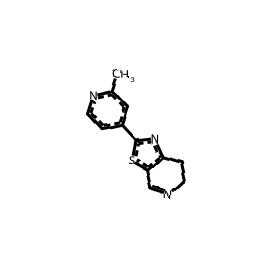 Cc1cc(-c2nc3c(s2)C=NCC3)ccn1